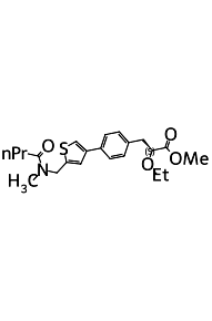 CCCC(=O)N(C)Cc1cc(-c2ccc(C[C@H](OCC)C(=O)OC)cc2)cs1